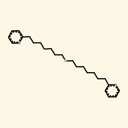 c1ccc(CCCCCCCOCCCCCCCc2ccccn2)nc1